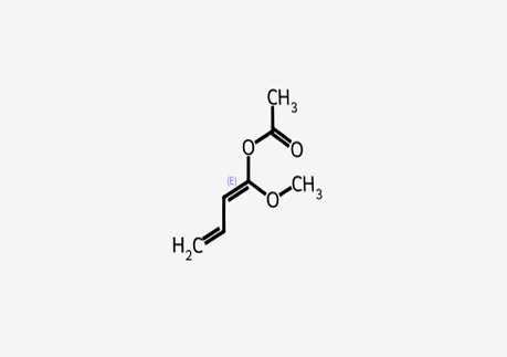 C=C/C=C(\OC)OC(C)=O